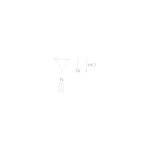 C#N.C1CO1.CBr.CI.Cl